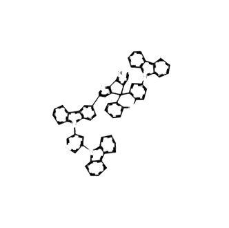 c1ccc2c(c1)Oc1ccc(-n3c4ccccc4c4ccccc43)cc1C21c2cccnc2-c2ncc(-c3ccc4c(c3)c3ccccc3n4-c3cncc(-n4c5ccccc5c5ccccc54)c3)cc21